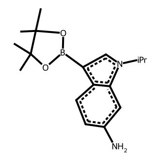 CC(C)n1cc(B2OC(C)(C)C(C)(C)O2)c2ccc(N)cc21